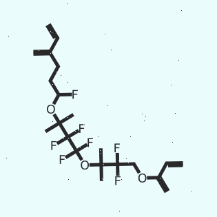 C=CC(=C)CCC(F)OC(C)(C)C(F)(F)C(F)(F)OC(C)(C)C(F)(F)COC(=C)C=C